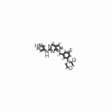 O=C1COCCN1c1cc(F)cc(Cn2ncc3cnc(Nc4cn[nH]c4)nc32)c1